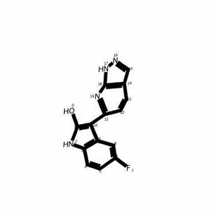 Oc1[nH]c2ccc(F)cc2c1-c1ccc2cn[nH]c2n1